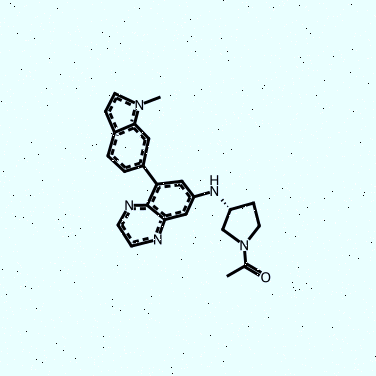 CC(=O)N1CC[C@@H](Nc2cc(-c3ccc4ccn(C)c4c3)c3nccnc3c2)C1